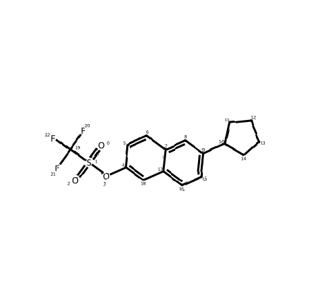 O=S(=O)(Oc1ccc2cc(C3CCCC3)ccc2c1)C(F)(F)F